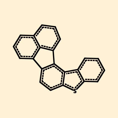 c1cc2c3c(cccc3c1)-c1c-2ccc2sc3ccccc3c12